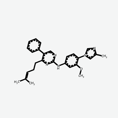 COc1cc(Nc2ncc(-c3ccccc3)c(CCC=C(C)C)n2)ccc1-n1cnc(C)c1